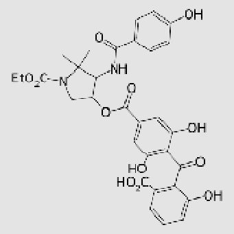 CCOC(=O)N1CC(OC(=O)c2cc(O)c(C(=O)c3c(O)cccc3C(=O)O)c(O)c2)C(NC(=O)c2ccc(O)cc2)C1(C)C